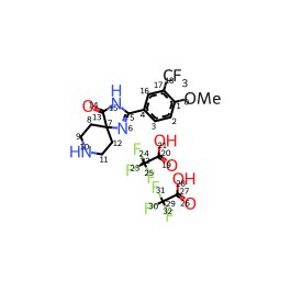 COc1ccc(C2=NC3(CCNCC3)C(=O)N2)cc1C(F)(F)F.O=C(O)C(F)(F)F.O=C(O)C(F)(F)F